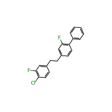 Fc1cc(CCc2ccc(-c3ccccc3)c(F)c2)ccc1Cl